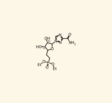 CCOP(=O)(CCC1OC(n2cnc(C(N)=O)n2)[C@H](O)[C@@H]1O)OCC